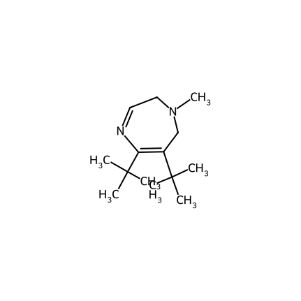 CN1CC=NC(C(C)(C)C)=C(C(C)(C)C)C1